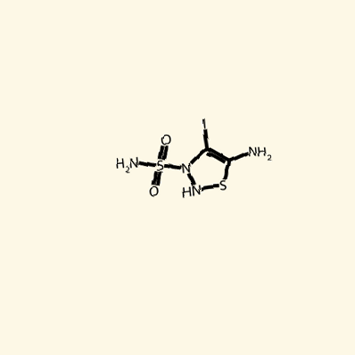 NC1=C(I)N(S(N)(=O)=O)NS1